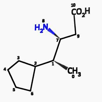 C[C@H](C1CCCC1)[C@H](N)CC(=O)O